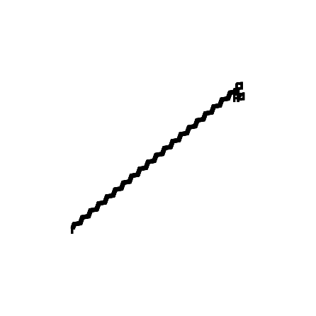 Cl[SiH](Cl)CCCCCCCCCCCCCCCCCCCCCCCCCCCCCCCCCCCCCCCI